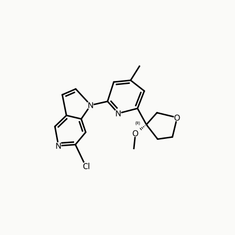 CO[C@@]1(c2cc(C)cc(-n3ccc4cnc(Cl)cc43)n2)CCOC1